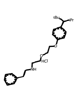 CC(C)C(c1ccc(OCCOCCNCCc2ccccc2)cc1)C(C)(C)C.Cl